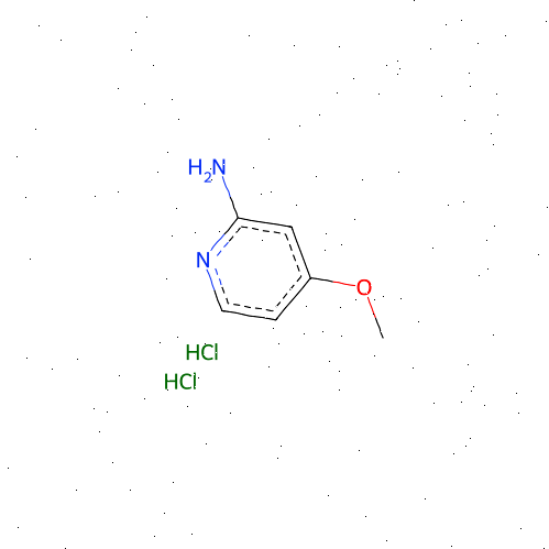 COc1ccnc(N)c1.Cl.Cl